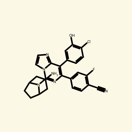 N#Cc1ccc(-c2nc(N3C4CCC3CC(N)C4)n3ccnc3c2-c2ccc(Cl)c(O)c2)cc1F